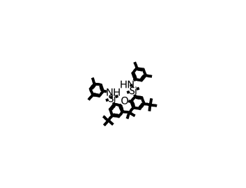 Cc1cc(C)cc(N[Si](C)(C)c2cc(C(C)(C)C)cc3c2Oc2c(cc(C(C)(C)C)cc2[Si](C)(C)Nc2cc(C)cc(C)c2)C3(C)C)c1